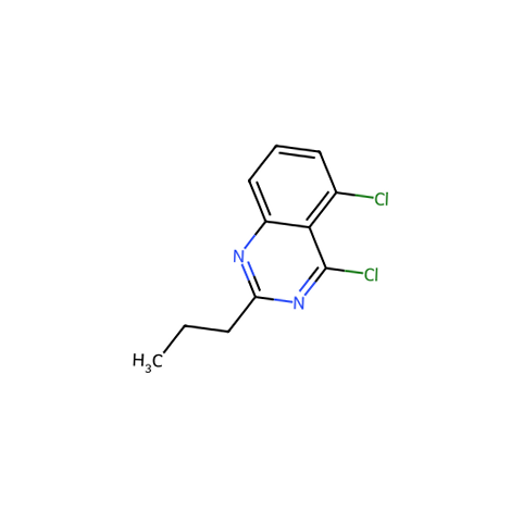 CCCc1nc(Cl)c2c(Cl)cccc2n1